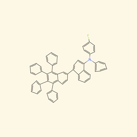 Fc1ccc(N(c2ccccc2)c2ccc(-c3ccc4c(-c5ccccc5)c(-c5ccccc5)c(-c5ccccc5)c(-c5ccccc5)c4c3)c3ccccc23)cc1